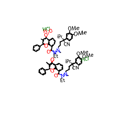 CCN(C(=O)c1cccc2c(=O)c(C)c(-c3ccccc3)oc12)N(C)CCCC(C#N)(c1ccc(OC)c(OC)c1)C(C)C.CCN(C(=O)c1cccc2c(=O)c(C)c(-c3ccccc3)oc12)N(C)CCCC(C#N)(c1ccc(OC)c(OC)c1)C(C)C.Cl.Cl.O